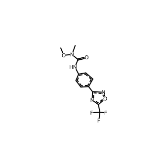 CON(C)C(=O)Nc1ccc(-c2noc(C(F)(F)F)n2)cc1